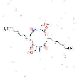 CCCCCCCC1CC(=O)NC(CO)C(=O)OC(CCCCCCC)CC(=O)NC(CO)C(=O)O1